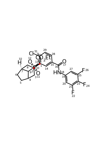 CCOC(=O)/C=C1/CC2CC[C@@H](C1)C2S(=O)(=O)c1cc(C(=O)Nc2cc(F)c(F)c(F)c2)ccc1Cl